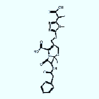 CC(C(=O)O)c1nnc(SCC2=C(C(=O)O)N3C(=O)C(NC(=O)Cc4ccccc4)[C@H]3SC2)n1C